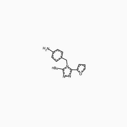 CCCCc1nnc(-c2ccco2)n1Cc1ccc(N)cc1